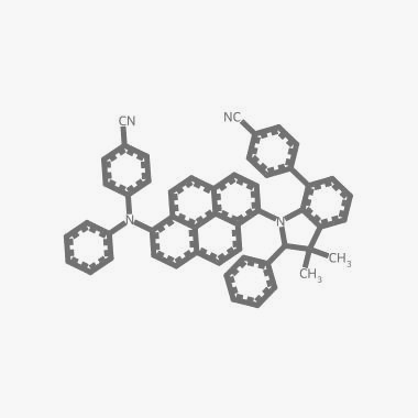 CC1(C)c2cccc(-c3ccc(C#N)cc3)c2N(c2ccc3ccc4c(N(c5ccccc5)c5ccc(C#N)cc5)ccc5ccc2c3c54)C1c1ccccc1